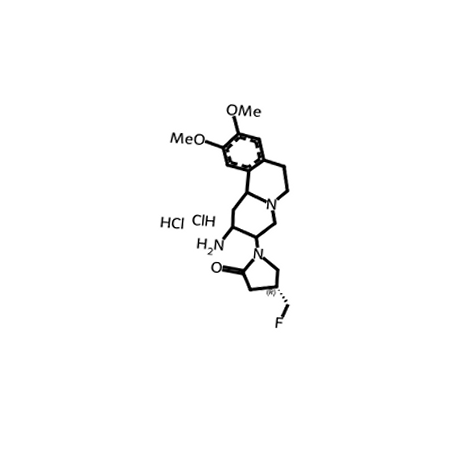 COc1cc2c(cc1OC)C1CC(N)C(N3C[C@H](CF)CC3=O)CN1CC2.Cl.Cl